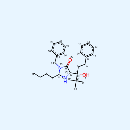 CCCCC1N[C@@H]([C@@](O)(CCc2ccccc2)C(C)(C)C)C(=O)N1Cc1ccccc1